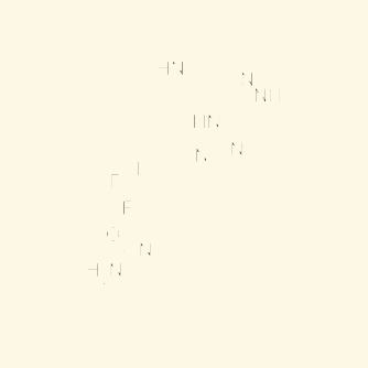 CC(C)(C)C1=C[N+](Cc2ccc(-c3ccnc(Nc4c[nH]nc4[C@H]4CCNC4)n3)cc2C(F)(F)F)(C(N)=O)C=C1